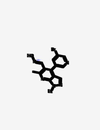 CCn1ncc2c(-c3cncc(Br)c3)c(/C=N/O)c(C)nc21